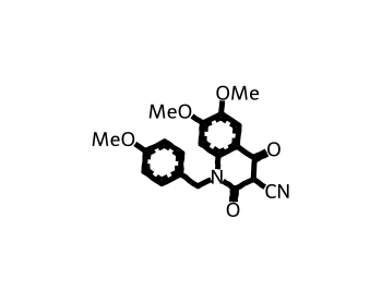 COc1ccc(CN2C(=O)C(C#N)C(=O)c3cc(OC)c(OC)cc32)cc1